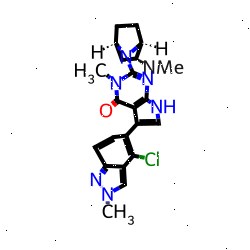 CN[C@H]1C[C@H]2CC[C@@H]1N2c1nc2[nH]cc(-c3ccc4nn(C)cc4c3Cl)c2c(=O)n1C